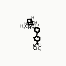 COC(=O)c1ccc(-c2cccc(N[C@H]3C[C@@H]4C[C@@H]([C@H]3C)C4(C)C)c2)cc1